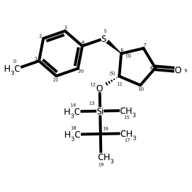 Cc1ccc(S[C@H]2CC(=O)C[C@@H]2O[Si](C)(C)C(C)(C)C)cc1